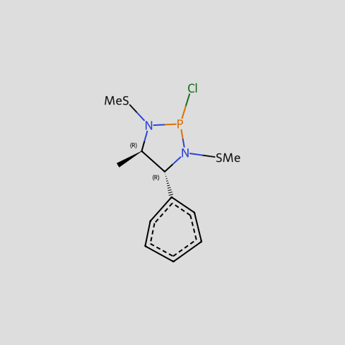 CSN1[C@H](C)[C@@H](c2ccccc2)N(SC)P1Cl